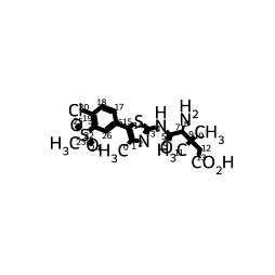 Cc1nc(NC(=O)[C@@H](N)C(C)(C)CC(=O)O)sc1-c1ccc(Cl)c(S(C)(=O)=O)c1